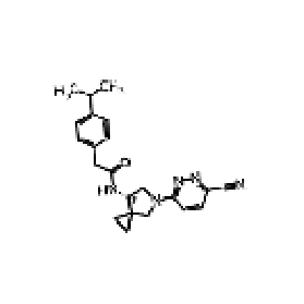 CC(C)c1ccc(CC(=O)N[C@@H]2CN(c3ccc(C#N)nn3)CC23CC3)cc1